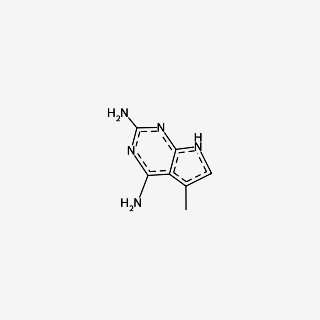 Cc1c[nH]c2nc(N)nc(N)c12